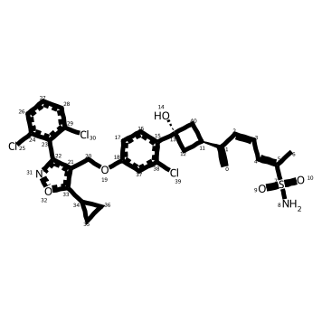 C=C(/C=C\C=C(/C)S(N)(=O)=O)[C@H]1C[C@@](O)(c2ccc(OCc3c(-c4c(Cl)cccc4Cl)noc3C3CC3)cc2Cl)C1